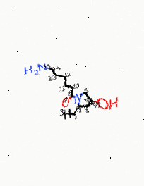 [3H]C[C@@H]1C[C@@H](O)CN1C(=O)CCCCCN